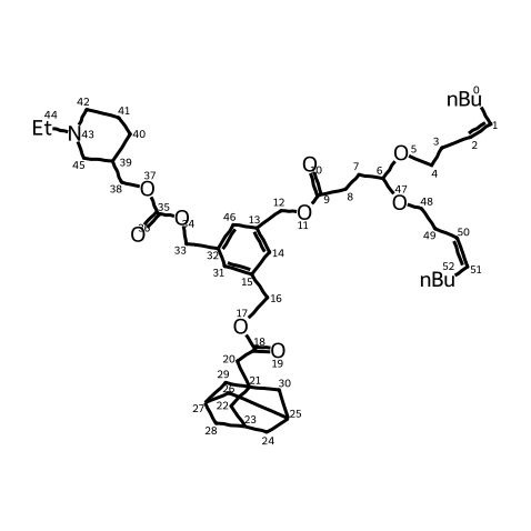 CCCC/C=C\CCOC(CCC(=O)OCc1cc(COC(=O)CC23CC4CC(CC(C4)C2)C3)cc(COC(=O)OCC2CCCN(CC)C2)c1)OCC/C=C\CCCC